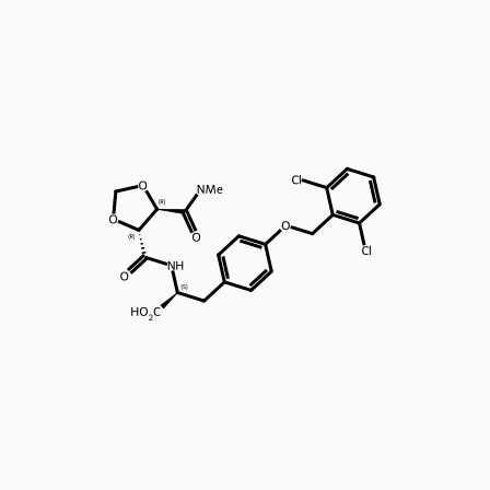 CNC(=O)[C@@H]1OCO[C@H]1C(=O)N[C@@H](Cc1ccc(OCc2c(Cl)cccc2Cl)cc1)C(=O)O